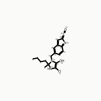 CCCCC1(C)NC(Cl)=C(O)N1Cc1ccc2c(c1)=CC(=C=O)N=2